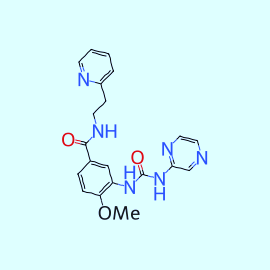 COc1ccc(C(=O)NCCc2ccccn2)cc1NC(=O)Nc1cnccn1